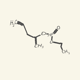 C=CCC(C)O[PH](=O)OCC